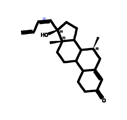 C=C/C=C\[C@]1(O)CCC2C3C(CC[C@@]21C)C1CCC(=O)C=C1C[C@H]3C